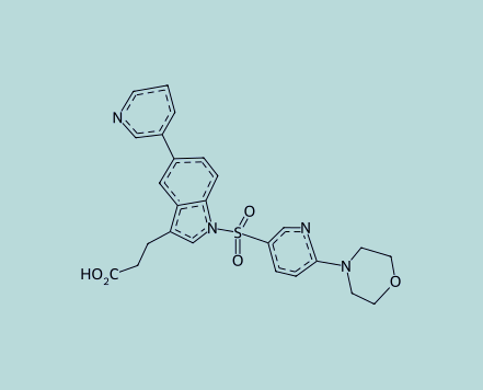 O=C(O)CCc1cn(S(=O)(=O)c2ccc(N3CCOCC3)nc2)c2ccc(-c3cccnc3)cc12